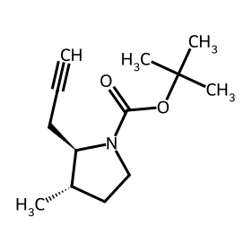 C#CC[C@@H]1[C@@H](C)CCN1C(=O)OC(C)(C)C